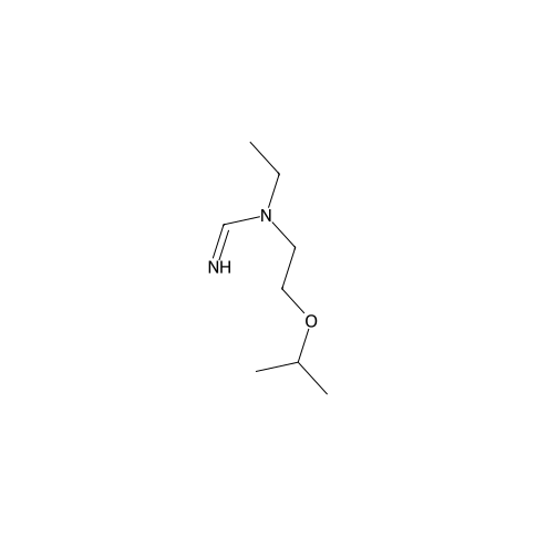 CCN(C=N)CCOC(C)C